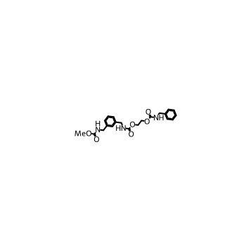 COC(=O)NCc1cccc(CNC(=O)OCCOC(=O)NCc2ccccc2)c1